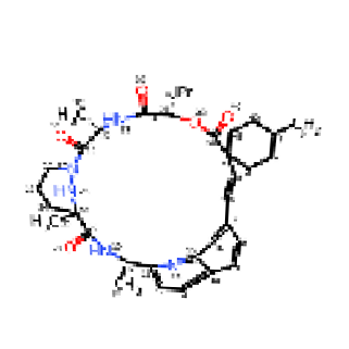 CC1CCC2(/C=C/c3ccc4ccc(nc4c3)[C@@H](C)NC(=O)C3(C)CCCN(N3)C(=O)[C@H](C)NC(=O)[C@H](C(C)C)OC2=O)CC1